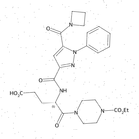 CCOC(=O)N1CCN(C(=O)[C@H](CCC(=O)O)NC(=O)c2cc(C(=O)N3CCC3)n(-c3ccccc3)n2)CC1